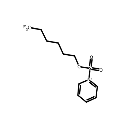 O=S(=O)(OCCCCCC(F)(F)F)[n+]1ccccc1